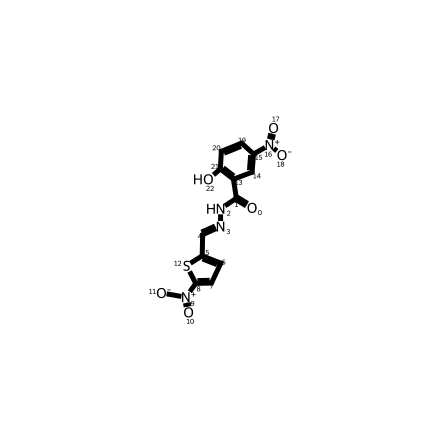 O=C(N/N=C/c1ccc([N+](=O)[O-])s1)c1cc([N+](=O)[O-])ccc1O